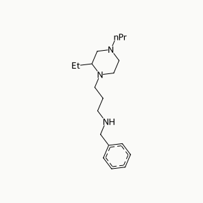 CCCN1CCN(CCCNCc2ccccc2)C(CC)C1